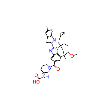 CCC(C)(C)n1c(-c2cc3cc(C)sc3n2CC2CC2)nc2cc(C(=O)N3CCC[C@@H](NC(=O)O)C3)cc(C(C)(C)COC)c21